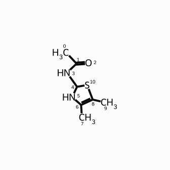 CC(=O)NC1NC(C)=C(C)S1